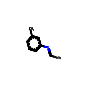 [CH2]CCCC=Nc1cccc(C)c1